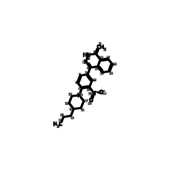 C=C1NN=C(c2ccc(N3CCC(CCC)CC3)c([N+](=O)[O-])c2)c2ccccc21